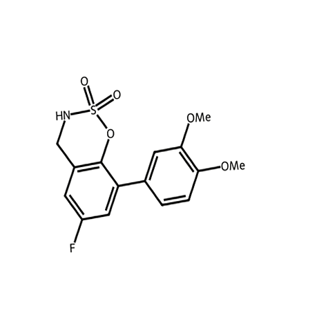 COc1ccc(-c2cc(F)cc3c2OS(=O)(=O)NC3)cc1OC